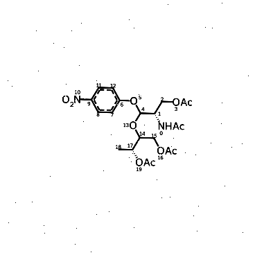 CC(=O)N[C@@H](COC(C)=O)C(Oc1ccc([N+](=O)[O-])cc1)OC(COC(C)=O)[C@@H](C)OC(C)=O